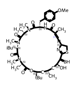 B=C1C2=N[C@@H](/C=C(\C)C(=O)N[C@@H](Cc3ccc(OC)cc3)C(=O)N(C)[C@@H](C)C(=O)N(C)[C@@H]([C@@H](C)CC)C(=O)N(C)[C@@H](C)C(=O)O[C@H](C(C)(C)C)C[C@@H](C)C[C@@H]1O)CS2